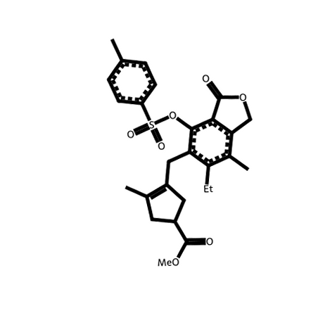 CCc1c(C)c2c(c(OS(=O)(=O)c3ccc(C)cc3)c1CC1=C(C)CC(C(=O)OC)C1)C(=O)OC2